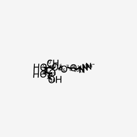 CC1C(OCCOCCOCCN=[N+]=[N-])OC(CO)C(O)C1O